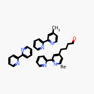 Cc1ccnc(-c2ccccn2)c1.O=CCCCc1ccnc(-c2ccccn2)c1.[Re].c1ccc(-c2ccccn2)nc1